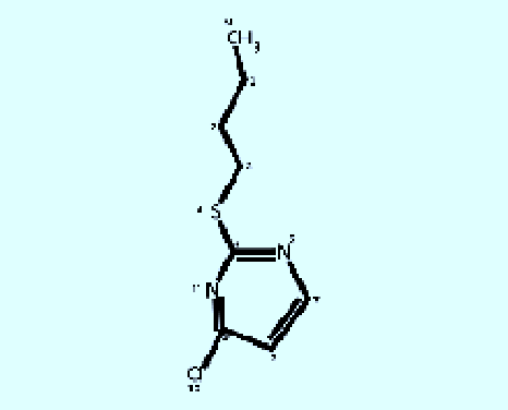 CCCCSc1nccc(Cl)n1